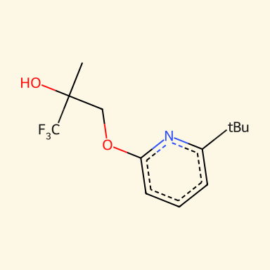 CC(C)(C)c1cccc(OCC(C)(O)C(F)(F)F)n1